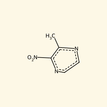 Cc1nccnc1[N+](=O)[O-]